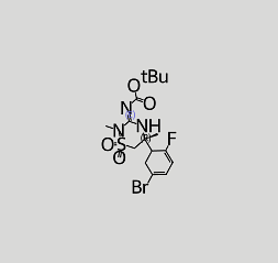 CN1/C(=N/C(=O)OC(C)(C)C)N[C@](C)(C2CC(Br)=CC=C2F)CS1(=O)=O